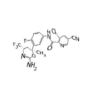 C[C@@]1(c2cc(NC(=O)c3ncc(C#N)cc3Cl)ccc2F)C[C@@H](C(F)(F)F)N=C(N)O1